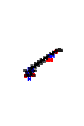 CCCCOCCCNCC(O)CCCCCCCCCc1nc2c(c(=O)[nH]c(=O)n2C)n1C